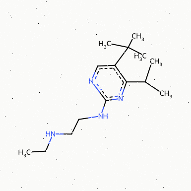 CCNCCNc1ncc(C(C)(C)C)c(C(C)C)n1